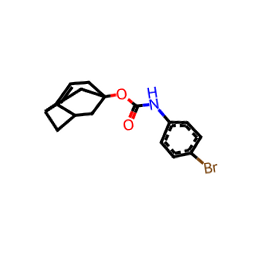 O=C(Nc1ccc(Br)cc1)OC12CC=C3C(CC3C1)C2